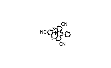 N#Cc1cc2c3c(c1)Sc1cc(C#N)cc4c1N3c1c(cc(C#N)cc1B4c1ccccc1)S2